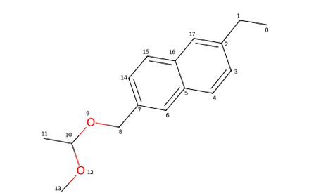 CCc1ccc2cc(COC(C)OC)ccc2c1